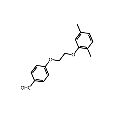 Cc1ccc(C)c(OCCOc2ccc(C=O)cc2)c1